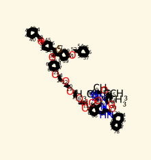 CC(C(=O)NC(C(=O)N1Cc2cc(OCCOCCOCCOCCOc3ccc(Oc4c(-c5ccc(OCc6ccccc6)cc5)sc5cc(OCc6ccccc6)ccc45)cc3)ccc2CC1C(=O)N[C@@H]1CCCc2ccccc21)C(C)(C)C)N(C)C(=O)O